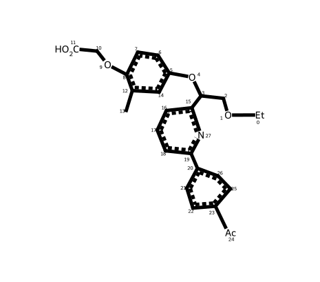 CCOCC(Oc1ccc(OCC(=O)O)c(C)c1)c1cccc(-c2ccc(C(C)=O)cc2)n1